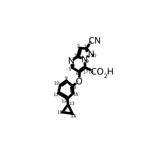 N#Cc1cc2ncc(Oc3cccc(C4CC4)c3)c(C(=O)O)n2n1